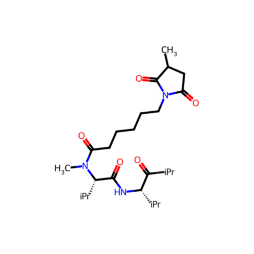 CC(C)C(=O)[C@@H](NC(=O)[C@H](C(C)C)N(C)C(=O)CCCCCN1C(=O)CC(C)C1=O)C(C)C